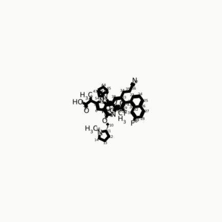 CC(C(=O)O)c1cc2c(OC[C@@H]3CCCN3C)nc3c(F)c(-c4cccc5ccc(F)cc45)c(CCC#N)cc3c2n1C1C2CC1N(C(=O)OC(C)(C)C)C2